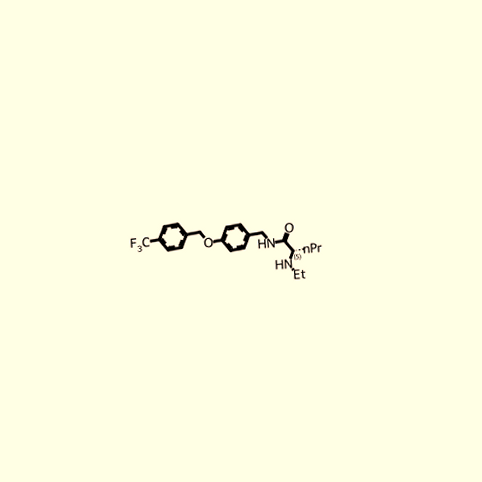 CCC[C@H](NCC)C(=O)NCc1ccc(OCc2ccc(C(F)(F)F)cc2)cc1